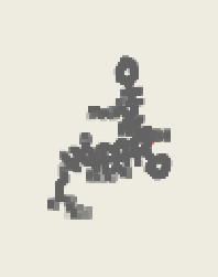 CCCCOC(=O)CCSC(C)(C)C(C)(CC(C)(C)C(C)(C)C(C)(C(=O)OC)C(C)(C)C(C)(C)C(CC(C)(C)C(C)(C)C(C)(CC(C)(C)C(C)(C)c1ccccc1)C(=O)OC)c1ccccc1)C(=O)OCCCCC(O)CO